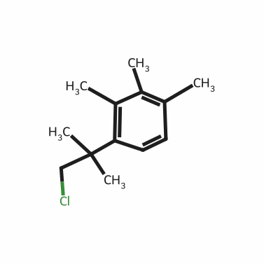 Cc1ccc(C(C)(C)CCl)c(C)c1C